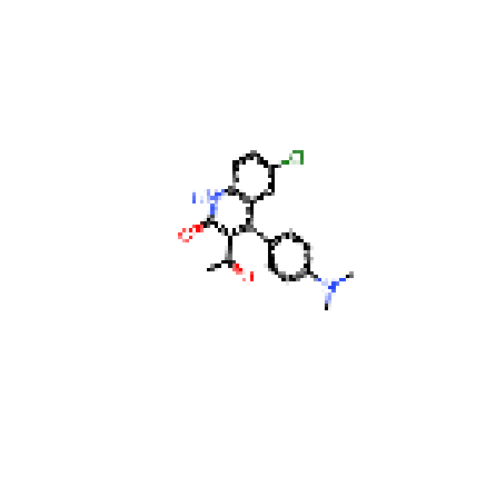 CC(=O)c1c(-c2ccc(N(C)C)cc2)c2cc(Cl)ccc2[nH]c1=O